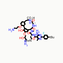 CNCC[C@H](NC(=O)c1c(C)nc(-c2ccc(C(C)(C)C)cc2F)nc1N)C(=O)N(C)[C@@H]1C(=O)N[C@@H](C)C(=O)N[C@H](C(=O)O)Cc2ccc(OCCCN)c(c2)-c2cc1cc(OC[C@H](O)CN)c2O